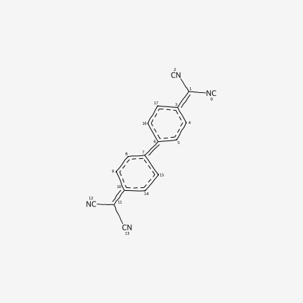 [C-]#[N+]C([N+]#[C-])=c1ccc(=c2ccc(=C(C#N)C#N)cc2)cc1